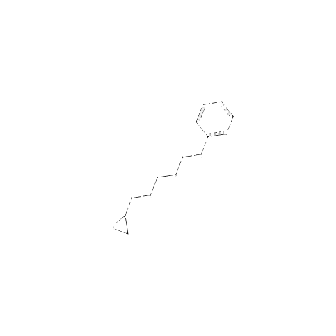 c1ccc(CCCCCCC2CO2)cc1